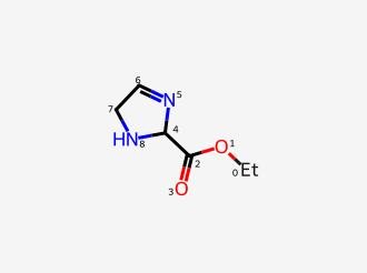 CCOC(=O)C1N=CCN1